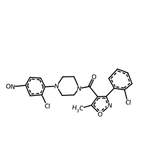 Cc1onc(-c2ccccc2Cl)c1C(=O)N1CCN(c2ccc(N=O)cc2Cl)CC1